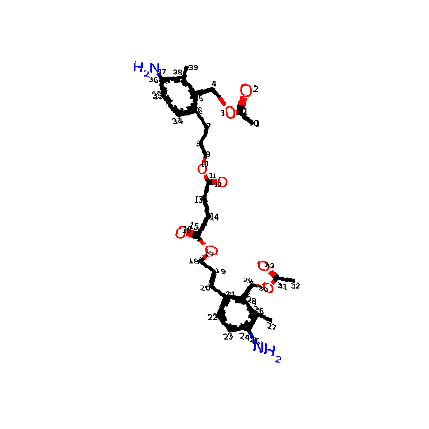 CC(=O)OCc1c(CCCOC(=O)CCC(=O)OCCCc2ccc(N)c(C)c2COC(C)=O)ccc(N)c1C